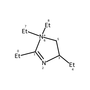 CCC1=NC(CC)C[N+]1(CC)CC